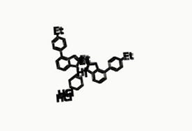 CCC1=Cc2c(-c3ccc(CC)cc3)cccc2[CH]1[Hf]1([CH]2C(CC)=Cc3c(-c4ccc(CC)cc4)cccc32)[CH]2CCCC[CH]21.Cl.Cl